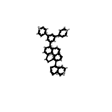 c1cc(-c2ccc3ccc4c(-c5cc(-c6ccncc6)cc(-c6ccncc6)c5)ccc5c4c3c2CC5)c2ccncc2c1